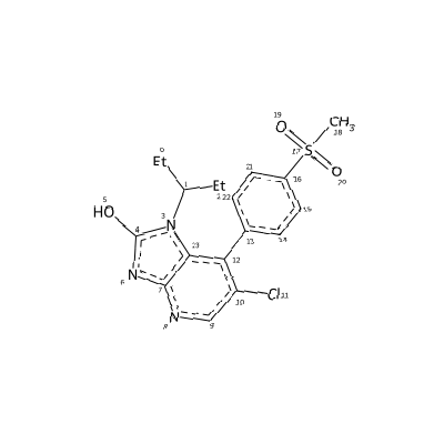 CCC(CC)n1c(O)nc2ncc(Cl)c(-c3ccc(S(C)(=O)=O)cc3)c21